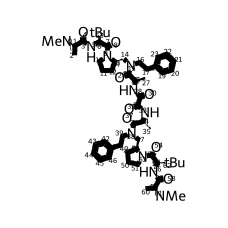 CN[C@@H](C)C(=O)N[C@H](C(=O)N1CCC[C@H]1CN(CCc1ccccc1)C(=O)[C@@H](C)NC(=O)C(=O)N[C@H](C)C(=O)N(CCc1ccccc1)C[C@@H]1CCCN1C(=O)[C@@H](NC(=O)[C@H](C)NC)C(C)(C)C)C(C)(C)C